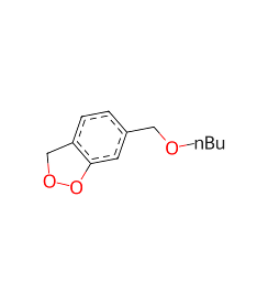 CCCCOCc1ccc2c(c1)OOC2